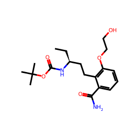 CC[C@@H](CCc1c(OCCO)cccc1C(N)=O)NC(=O)OC(C)(C)C